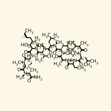 C/C=C\C[C@@H](C)[C@H](O)C(C(=O)N[C@H](CC)C(=O)N(C)CC(=O)N(C)[C@H](C)C(N)=O)N(C)C(=O)[C@H](C(C)C)N(C)C(=O)[C@@H](CC(C)C)N(C)C(=O)[C@@H](CC(C)C)N(C)C(=O)[C@H](C)NC(=O)C(CC)NC(=O)[C@@H](CC(C)C)N(C)C(=O)[C@H](C)C(C)C